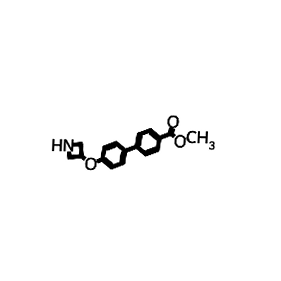 COC(=O)c1ccc(-c2ccc(OC3CNC3)cc2)cc1